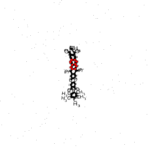 Cc1c(C)c(C)c(-n2c(=O)c3cc4oc5cc6c(cc5oc4cc3c2=O)C2(C(C)C)c3cc4ccccc4cc3C6(C(C)C)c3cc4oc5cc6c(=O)n(C)c(=O)c6cc5oc4cc32)c(C)c1C